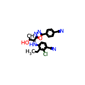 CCc1c(N[C@@H](c2nnc(-c3ccc(C#N)cc3)o2)[C@H](C)O)ccc(C#N)c1Cl